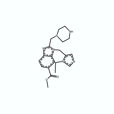 CCn1cncc1Cn1c(CN2CCNCC2)nc2ccc(C(=O)OC)cc21